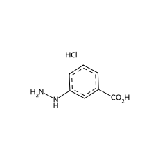 Cl.NNc1cccc(C(=O)O)c1